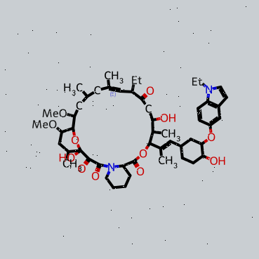 CCC1/C=C(\C)CC(C)CC(OC)C2OC(O)(C(=O)C(=O)N3CCCCC3C(=O)OC(C(C)=CC3CCC(O)C(Oc4ccc5c(ccn5CC)c4)C3)C(C)C(O)CC1=O)C(C)CC2OC